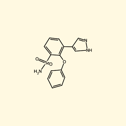 NS(=O)(=O)c1cccc(-c2cn[nH]c2)c1Oc1ccccc1